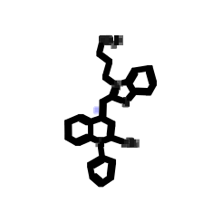 CCCCC1=C/C(=C\c2sc3ccccc3[n+]2CCCS(=O)(=O)O)c2ccccc2N1c1ccccc1